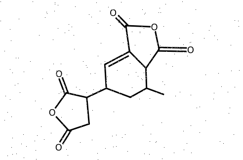 CC1CC(C2CC(=O)OC2=O)C=C2C(=O)OC(=O)C21